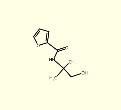 CC(C)(CO)NC(=O)c1ccco1